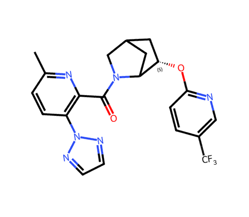 Cc1ccc(-n2nccn2)c(C(=O)N2CC3CC2[C@@H](Oc2ccc(C(F)(F)F)cn2)C3)n1